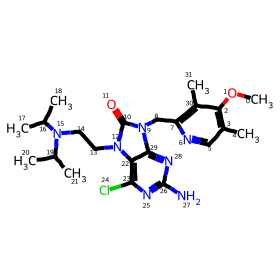 COc1c(C)cnc(Cn2c(=O)n(CCN(C(C)C)C(C)C)c3c(Cl)nc(N)nc32)c1C